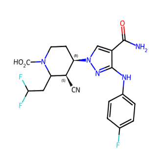 N#C[C@H]1C(CC(F)F)N(C(=O)O)CC[C@H]1n1cc(C(N)=O)c(Nc2ccc(F)cc2)n1